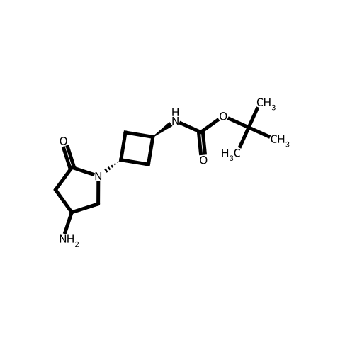 CC(C)(C)OC(=O)N[C@H]1C[C@H](N2CC(N)CC2=O)C1